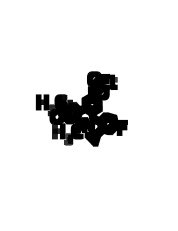 CCS(=O)(=O)Cc1ccc2c(c1)-c1cn(C)c(=O)cc1[C@H](C)N=C2c1ccc(F)cc1C1CC1